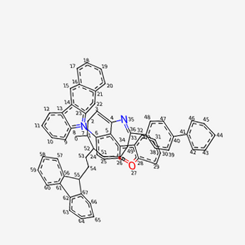 CC1C/C=C(c2c(-n3c4ccccc4c4cc5ccccc5cc43)ccc3oc4ccccc4c23)/N=C(/c2ccc(-c3ccccc3)cc2)CCCC1CCC1c2ccccc2-c2ccccc21